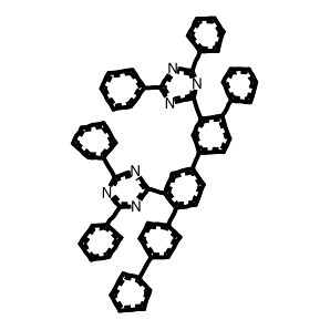 c1ccc(-c2ccc(-c3ccc(-c4ccc(-c5ccccc5)c(-c5nc(-c6ccccc6)nc(-c6ccccc6)n5)c4)cc3-c3nc(-c4ccccc4)nc(-c4ccccc4)n3)cc2)cc1